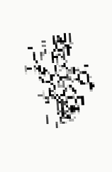 Cn1nc(NS(C)(=O)=O)c2c(Cl)ccc(-n3c([C@H](Cc4cc(F)cc(F)c4)NC(=O)Cn4nc(C(F)F)c5c4C(F)(F)[C@@H]4C[C@H]54)nc4nc(NCCCF)ccc4c3=O)c21